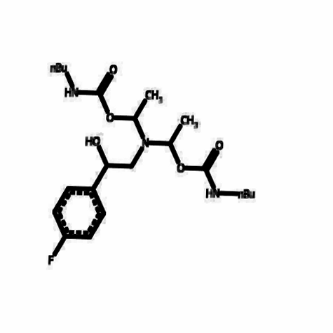 CCCCNC(=O)OC(C)N(CC(O)c1ccc(F)cc1)C(C)OC(=O)NCCCC